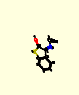 CON=C1C(=O)Sc2ccccc21